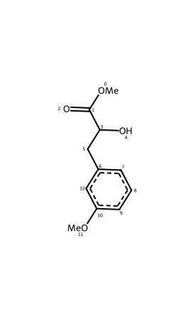 COC(=O)C(O)Cc1cccc(OC)c1